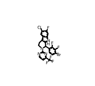 Fc1cc2[nH]c3c(c2cc1Cl)CCN(c1nccc(C(F)(F)F)n1)C3c1ccc(Br)c(F)c1F